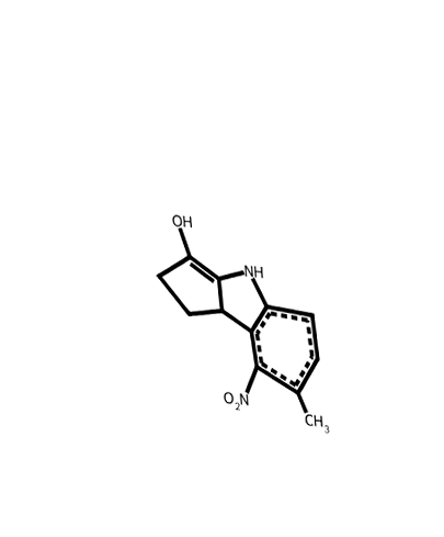 Cc1ccc2c(c1[N+](=O)[O-])C1CCC(O)=C1N2